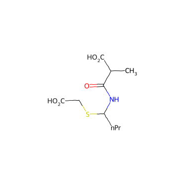 CCCC(NC(=O)C(C)C(=O)O)SCC(=O)O